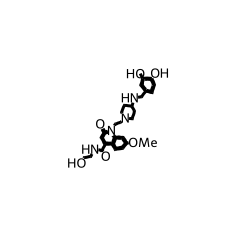 COc1ccc2c(C(=O)NCCO)cc(=O)n(CCN3CCC(NCc4ccc(O)c(O)c4)CC3)c2c1